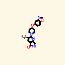 Cc1cc2c(nc1N1CCC(Oc3ccc4ocnc4c3)CC1)CNC2=O